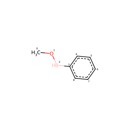 COBc1ccccc1